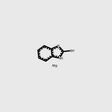 Sc1nc2ccccc2[nH]1.[Mg]